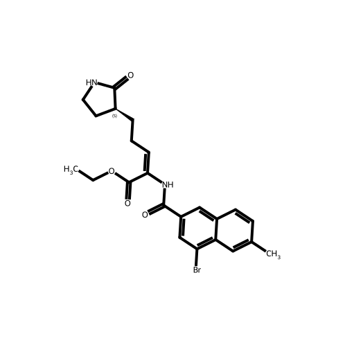 CCOC(=O)C(=CCC[C@H]1CCNC1=O)NC(=O)c1cc(Br)c2cc(C)ccc2c1